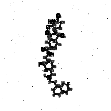 CN(CCc1cccc2ccccc12)Cc1ccc(CNC(=O)c2ccc3c(c2)C(=O)N(C2CCC(=O)NC2=O)C3=O)c(F)c1